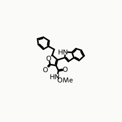 CONC(=O)C1=C(c2cc3ccccc3[nH]2)C(Cc2ccccc2)OC1=O